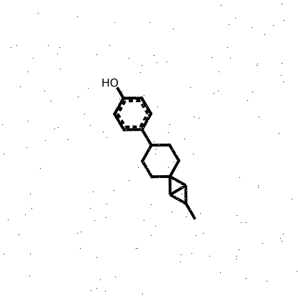 CC1C2C1C21CCC(c2ccc(O)cc2)CC1